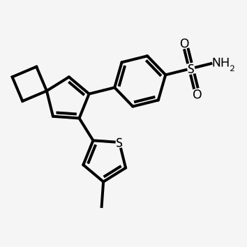 Cc1csc(C2=CC3(C=C2c2ccc(S(N)(=O)=O)cc2)CCC3)c1